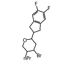 CCCC1COC(C2Cc3cc(F)c(F)cc3C2)CC1Br